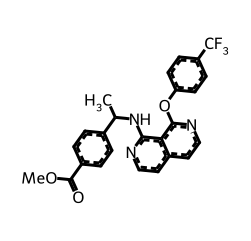 COC(=O)c1ccc(C(C)Nc2nccc3ccnc(Oc4ccc(C(F)(F)F)cc4)c23)cc1